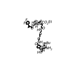 CCCCOc1nc(N)c2nc(O)n(Cc3ccc(C(=O)NCCOCCOCCNC(=O)CC[C@@H](NC(=O)[C@@H](NC(=O)CNC(=O)C4CC4c4ccc(F)c(F)c4)C(C)C)C(=O)OCC)cc3)c2n1